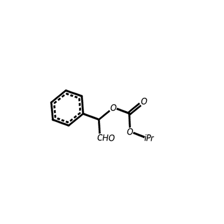 CC(C)OC(=O)OC(C=O)c1ccccc1